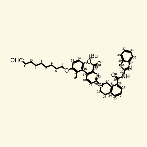 Cc1c(OCCCCCCCCC=O)cccc1-c1ccc(N2CCc3cccc(C(=O)Nc4nc5ccccc5s4)c3C2)nc1C(=O)OC(C)(C)C